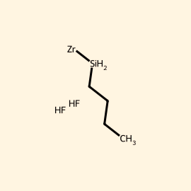 CCCC[SiH2][Zr].F.F